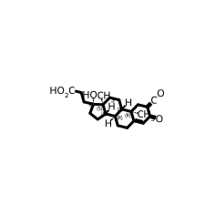 C[C@]12CC(=C=O)C(=O)C=C1CC[C@@H]1[C@@H]2CC[C@@]2(C)[C@H]1CC[C@@]2(O)CCC(=O)O